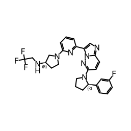 Fc1cccc([C@H]2CCCN2c2ccc3ncc(-c4cccc(N5CC[C@@H](NCC(F)(F)F)C5)n4)n3n2)c1